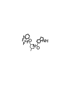 CC1CC(COc2cccnc2C(F)(F)F)CN(C(=O)c2ccc3cc[nH]c3c2)C1